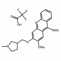 CNc1c2ccccc2nc2cc(OCC3CCN(C)C3)c(OC)cc12.O=C(O)C(F)(F)F